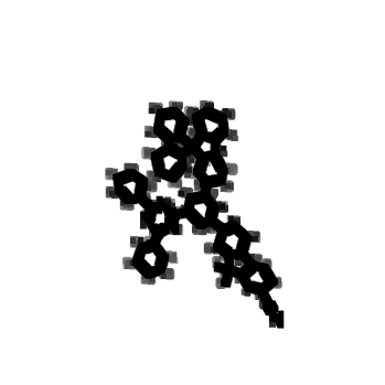 CC1(C)c2cc(C#N)ccc2-c2ccc(-c3cc(-c4ccc5c(c4)C(c4ccccc4)(c4ccccc4)c4ccccc4-5)cc(-c4nc(-c5ccccc5)nc(-c5ccccc5)n4)c3)cc21